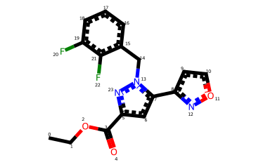 CCOC(=O)c1cc(-c2ccon2)n(Cc2cccc(F)c2F)n1